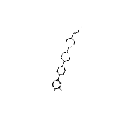 CC=CC1COC(C2CCC(c3ccc(-c4ccc(Cl)c(F)c4)cc3)CC2)OC1